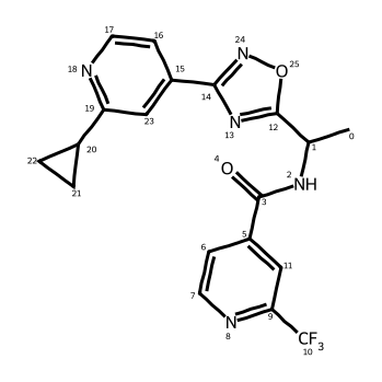 CC(NC(=O)c1ccnc(C(F)(F)F)c1)c1nc(-c2ccnc(C3CC3)c2)no1